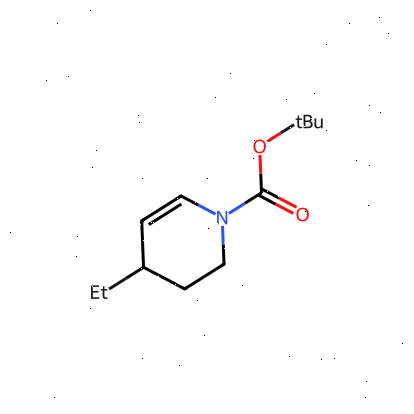 [CH2]CC1C=CN(C(=O)OC(C)(C)C)CC1